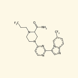 NC(=O)C1CN(c2ccnc(-c3cnc4ccc(C(F)(F)F)cn34)n2)CCN1CCC(F)(F)F